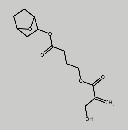 C=C(CO)C(=O)OCCCC(=O)OC1CC2CCC1O2